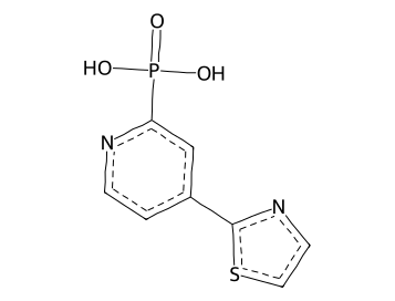 O=P(O)(O)c1cc(-c2nccs2)ccn1